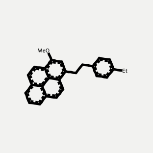 CCc1ccc(CCc2cc(OC)c3ccc4cccc5ccc2c3c54)cc1